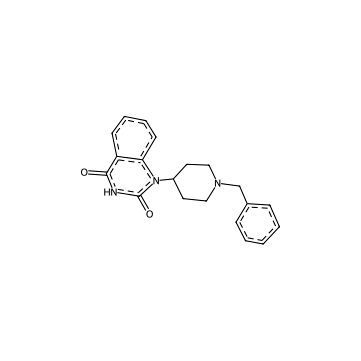 O=c1[nH]c(=O)n(C2CCN(Cc3ccccc3)CC2)c2ccccc12